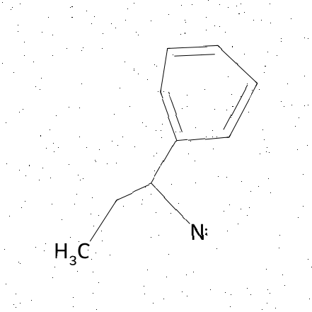 CCC([N])c1ccccc1